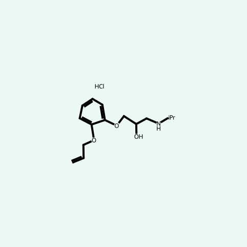 C=CCOc1ccccc1OCC(O)CNC(C)C.Cl